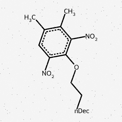 CCCCCCCCCCCCOc1c([N+](=O)[O-])cc(C)c(C)c1[N+](=O)[O-]